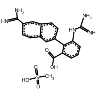 CS(=O)(=O)O.N=C(N)Nc1cccc(C(=O)O)c1-c1ccc2cc(C(=N)N)ccc2c1